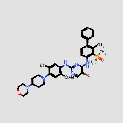 CCc1cc(Nc2ncc(Br)c(Nc3ccc(-c4ccccc4)c(C)c3P(C)(C)=O)n2)c(OC)cc1N1CCC(N2CCOCC2)CC1